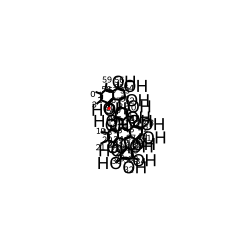 Cc1c(C)c(O)c2c(-c3c(O)c(O)c(-c4c5c(O)c(C)c(C)c(O)c5c(-c5c(O)c(O)c(O)c(O)c5O)c5c(O)c(O)c(O)c(O)c45)c(O)c3O)c(O)c(O)c(O)c2c1C